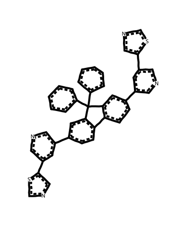 c1ccc(C2(c3ccccc3)c3cc(-c4cncc(-c5cncs5)c4)ccc3-c3ccc(-c4cncc(-c5cncs5)c4)cc32)cc1